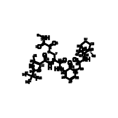 CNC(=O)C(=O)CC[C@H](NC(=O)c1sc(C(F)(F)F)nc1C)C(=O)Nc1cccn(CC(=O)NC2CC3CC[C@]2(C)C3(C)C)c1=O